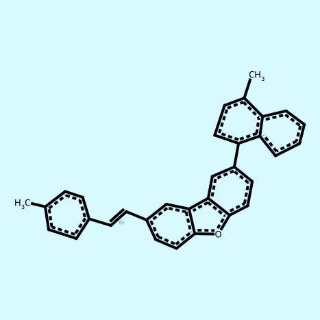 Cc1ccc(/C=C/c2ccc3oc4ccc(-c5ccc(C)c6ccccc56)cc4c3c2)cc1